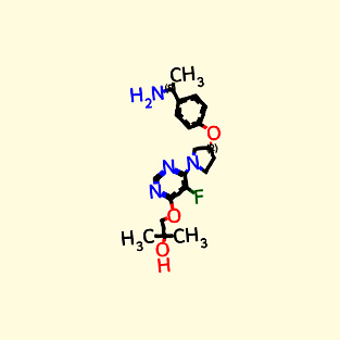 C[C@H](N)c1ccc(O[C@@H]2CCN(c3ncnc(OCC(C)(C)O)c3F)C2)cc1